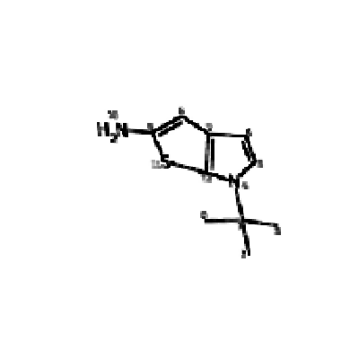 CC(C)(C)n1ccc2cc(N)sc21